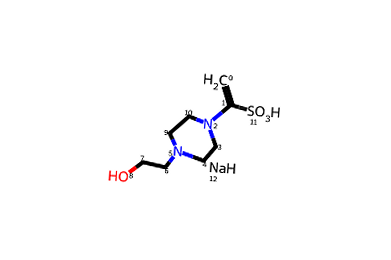 C=C(N1CCN(CCO)CC1)S(=O)(=O)O.[NaH]